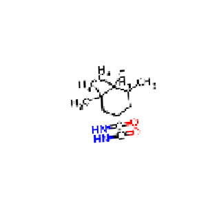 CC1CCCC(C)(C)C1(C)C.N=C=O.N=C=O